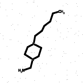 CCCCCCN1CCN(CN)CC1